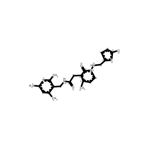 Cc1cc(N)nc(C)c1CNC(=O)Cc1c(C)ccn(NCc2ccc(Cl)s2)c1=O